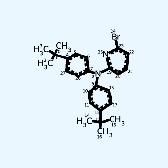 CC(C)(C)c1ccc(N(c2ccc(C(C)(C)C)cc2)c2cccc(Br)n2)cc1